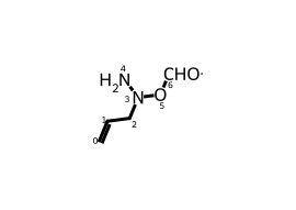 C=CCN(N)O[C]=O